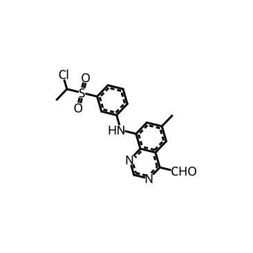 Cc1cc(Nc2cccc(S(=O)(=O)C(C)Cl)c2)c2ncnc(C=O)c2c1